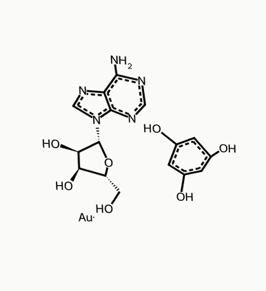 Nc1ncnc2c1ncn2[C@@H]1O[C@H](CO)[C@@H](O)[C@H]1O.Oc1cc(O)cc(O)c1.[Au]